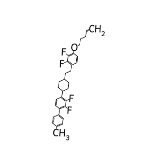 C=CCCCOc1ccc(CCC2CCC(c3ccc(-c4ccc(C)cc4)c(F)c3F)CC2)c(F)c1F